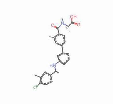 Cc1cc(C(C)Nc2cccc(-c3ccc(C(=O)N(C)[C@@H](C)C(=O)O)c(C)c3)c2)ccc1Cl